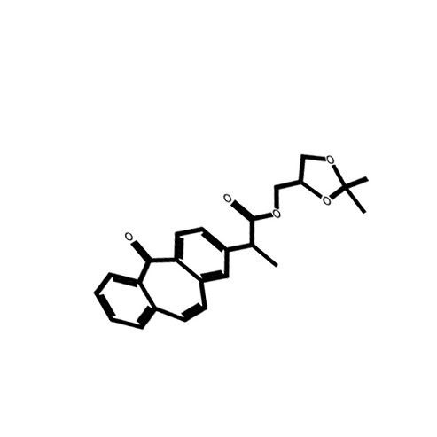 CC(C(=O)OCC1COC(C)(C)O1)c1ccc2c(=O)c3ccccc3ccc2c1